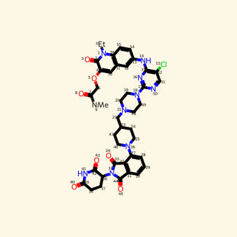 CCn1c(=O)c(OCC(=O)NC)cc2cc(Nc3nc(N4CCN(CC5CCN(c6cccc7c6C(=O)N(C6CCC(=O)NC6=O)C7=O)CC5)CC4)ncc3Cl)ccc21